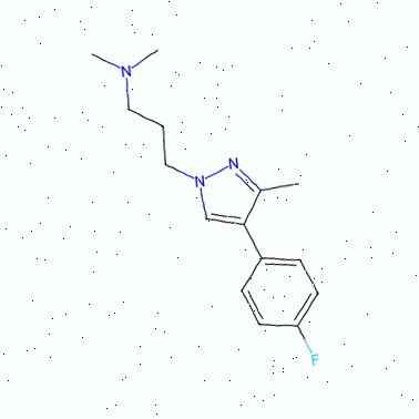 Cc1nn(CCCN(C)C)cc1-c1ccc(F)cc1